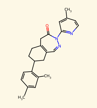 Cc1ccnc(N2N=CC3=C(CCC(c4ccc(C)cc4C)C3)CC2=O)c1